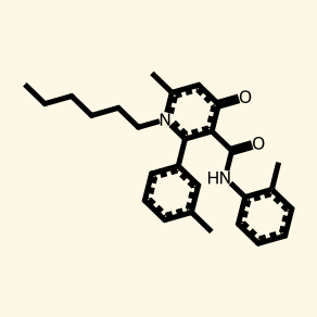 CCCCCCn1c(C)cc(=O)c(C(=O)Nc2ccccc2C)c1-c1cccc(C)c1